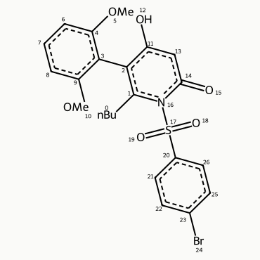 CCCCc1c(-c2c(OC)cccc2OC)c(O)cc(=O)n1S(=O)(=O)c1ccc(Br)cc1